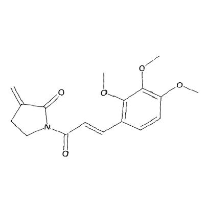 C=C1CCN(C(=O)C=Cc2ccc(OC)c(OC)c2OC)C1=O